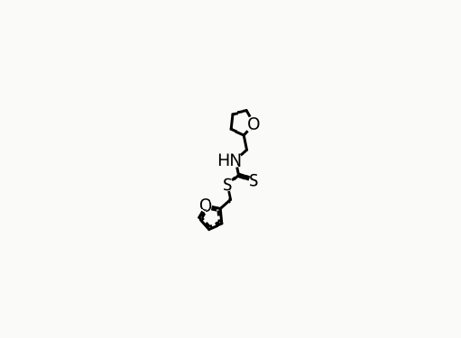 S=C(NCC1CCCO1)SCc1ccco1